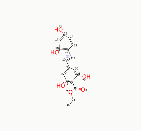 CCOC(=O)c1c(O)cc(/C=C/c2ccc(O)cc2O)cc1O